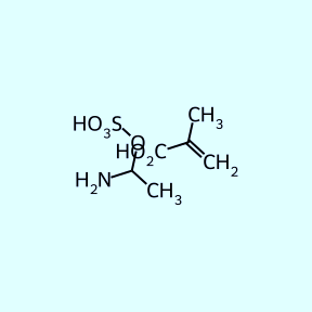 C=C(C)C(=O)O.CC(N)OS(=O)(=O)O